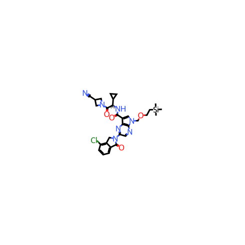 C[Si](C)(C)CCOCn1cc(C(=O)N[C@@H](C(=O)N2CC(C#N)C2)C2CC2)c2nc(N3Cc4c(Cl)cccc4C3=O)cnc21